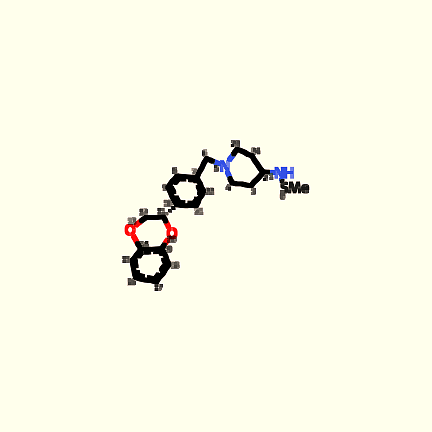 CSNC1CCN(Cc2ccc([C@H]3COc4ccccc4O3)cc2)CC1